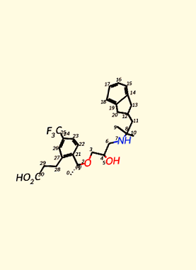 C[C@@H](OCC(O)CNC(C)(C)CC1Cc2ccccc2C1)c1ccc(C(F)(F)F)cc1CCC(=O)O